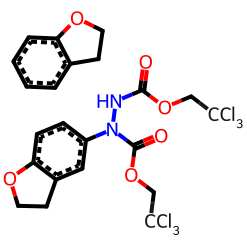 O=C(NN(C(=O)OCC(Cl)(Cl)Cl)c1ccc2c(c1)CCO2)OCC(Cl)(Cl)Cl.c1ccc2c(c1)CCO2